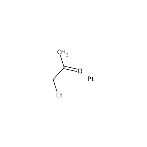 CCCC(C)=O.[Pt]